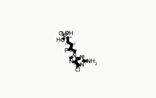 Nc1nc(Cl)c2ncn(C/C(F)=C/CCP(=O)(O)O)c2n1